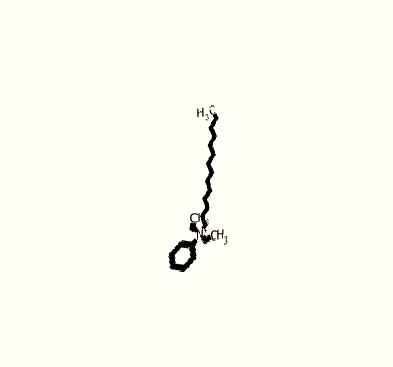 CCCCCCCCCCCCCC[N+](CC)(CC)C1CCCCC1